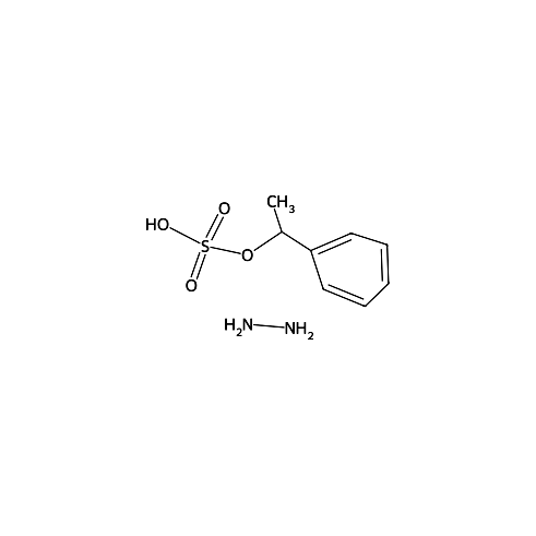 CC(OS(=O)(=O)O)c1ccccc1.NN